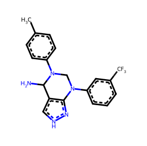 Cc1ccc(N2CN(c3cccc(C(F)(F)F)c3)c3n[nH]cc3C2N)cc1